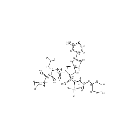 CC(C)C[C@H](NC(=O)[C@@H]1C[C@]2(CC(c3cccc(Cl)c3)=NO2)CN1C(=O)[C@@H](NC(=O)CC1CCCCC1)C(C)(C)C)C(=O)C(=O)NC1CC1